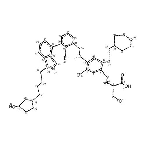 O=C(O)[C@H](CO)NCc1cc(Cl)c(OCc2cccc(-c3cccc4c3cnn4CCCCN3CC[C@@H](O)C3)c2Br)cc1OCC1CCOCC1